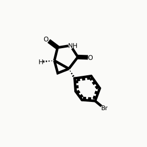 O=C1NC(=O)[C@@]2(c3ccc(Br)cc3)C[C@@H]12